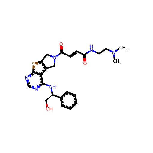 CN(C)CCNC(=O)/C=C/C(=O)N1Cc2sc3ncnc(N[C@H](CO)c4ccccc4)c3c2C1